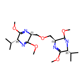 COC1=N[C@H](C(C)C)C(OC)=N[C@H]1COC[C@@H]1N=C(OC)[C@@H](C(C)C)N=C1OC